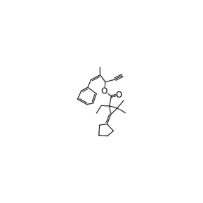 C#CC(OC(=O)C1(CC)C(=C2CCCC2)C1(C)C)C(C)=Cc1ccccc1